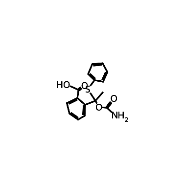 CC(OC(N)=O)(Sc1ccccc1)c1ccccc1C(=O)O